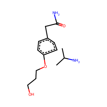 CC(C)N.NC(=O)Cc1ccc(OCCCO)cc1